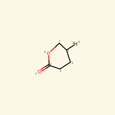 [2H]C1CCC(=O)OC1